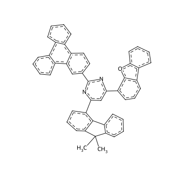 CC1(C)c2ccccc2-c2c(-c3cc(-c4cccc5c4oc4ccccc45)nc(-c4ccc5c6ccccc6c6ccccc6c5c4)n3)cccc21